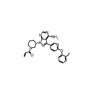 C=CC(=O)N1CCC[C@@H](n2nc(-c3ccc(Oc4ccccc4F)nc3)c3c(N)ncnc32)C1